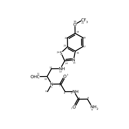 CN(C(=O)CNC(=O)CN)C(C=O)CNc1nc2ccc(OC(F)(F)F)cc2s1